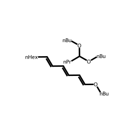 CCCCCC/C=C/C=C/C=C/OCCCC.CCCCOC(CCC)OCCCC